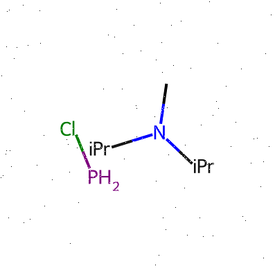 CC(C)N(C)C(C)C.PCl